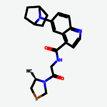 N#C[C@@H]1CSCN1C(=O)CNC(=O)c1ccnc2ccc(N3C4CCC3CC4)cc12